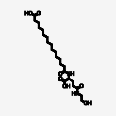 O=C(O)CCCCCCCCCCCCCCC(=O)N[C@@H](CCC(=O)NCCO)C(=O)O